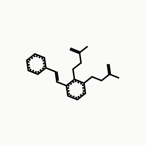 C=C(C)CCc1cccc(C=Cc2ccccc2)c1CCC(=C)C